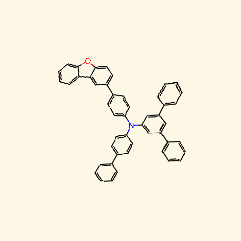 c1ccc(-c2ccc(N(c3ccc(-c4ccc5oc6ccccc6c5c4)cc3)c3cc(-c4ccccc4)cc(-c4ccccc4)c3)cc2)cc1